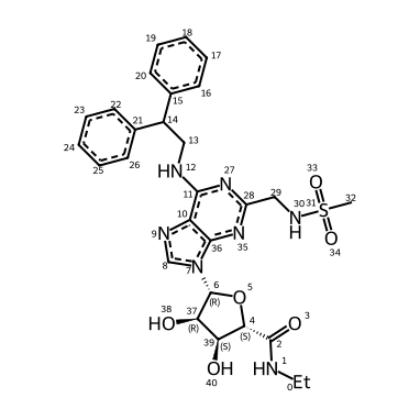 CCNC(=O)[C@H]1O[C@@H](n2cnc3c(NCC(c4ccccc4)c4ccccc4)nc(CNS(C)(=O)=O)nc32)[C@H](O)[C@@H]1O